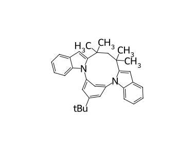 CC(C)(C)c1cc2cc(c1)-n1c(cc3ccccc31)C(C)(C)CC(C)(C)c1cc3ccccc3n1-2